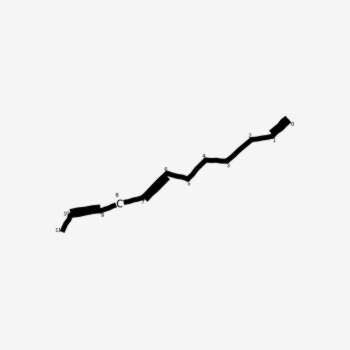 C=CCCCCC=CCC=CC